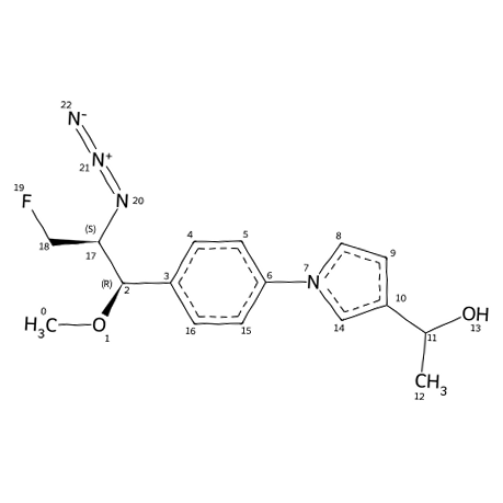 CO[C@H](c1ccc(-n2ccc(C(C)O)c2)cc1)[C@@H](CF)N=[N+]=[N-]